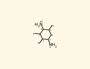 CC1CC(N)C(C)C(C)C1N